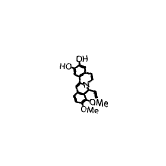 C=CC1c2c(ccc(OC)c2OC)C=C2c3cc(O)c(O)cc3CCN21